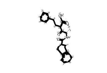 C[C@H](NC(=O)C1Cc2ccccc2C1)C(=O)C(CCc1ccccc1)C(=O)O